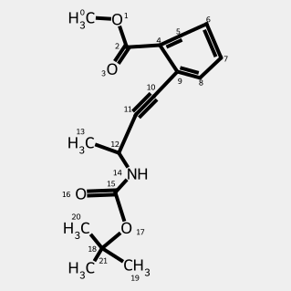 COC(=O)c1ccccc1C#CC(C)NC(=O)OC(C)(C)C